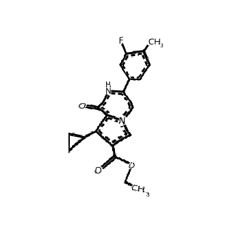 CCOC(=O)c1cn2cc(-c3ccc(C)c(F)c3)[nH]c(=O)c2c1C1CC1